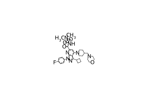 CN(C)S(=O)(=O)NC(=O)c1cc(N2CCC(CN3CCOCC3)CC2)c2c(C3CCC3)nn(-c3ccc(F)cc3)c2n1